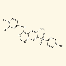 O=[N+]([O-])c1cc2c(Nc3ccc(F)c(Cl)c3)ncnc2cc1S(=O)(=O)c1ccc(Br)cc1